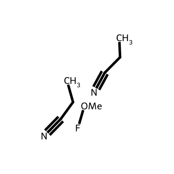 CCC#N.CCC#N.COF